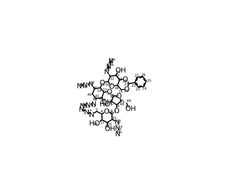 [N-]=[N+]=NCC1O[C@H](OC2C(O)[C@H](OC3C(OC4OC5COC(c6ccccc6)OC5C(O)C4N=[N+]=[N-])C(N=[N+]=[N-])C[C@@H](N=[N+]=[N-])C3O)O[C@@H]2CO)C(N=[N+]=[N-])C(O)C1O